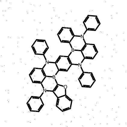 c1ccc(N2c3ccccc3B3c4cc5c(cc4N(c4ccccc4)c4cccc2c43)B2c3oc4ccccc4c3N(c3ccccc3)c3cccc(c32)N5c2ccccc2)cc1